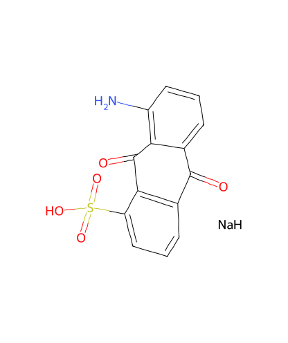 Nc1cccc2c1C(=O)c1c(cccc1S(=O)(=O)O)C2=O.[NaH]